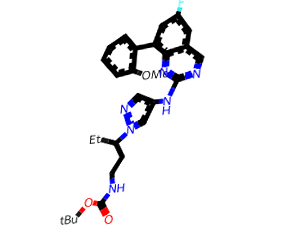 CCC(CCNC(=O)OC(C)(C)C)n1cc(Nc2ncc3cc(F)cc(-c4ccccc4OC)c3n2)cn1